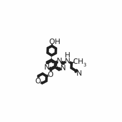 C[C@@H](CC#N)Nc1ncc2c(OC3CCOCC3)ncc([C@H]3CC[C@H](O)CC3)c2n1